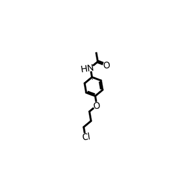 CC(=O)N[C]1C=CC(OCCCCl)=CC1